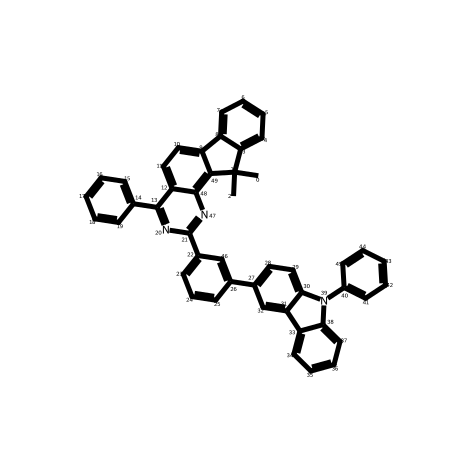 CC1(C)c2ccccc2-c2ccc3c(-c4ccccc4)nc(-c4cccc(-c5ccc6c(c5)c5ccccc5n6-c5ccccc5)c4)nc3c21